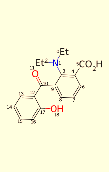 CCN(CC)c1c(C(=O)O)cccc1C(=O)c1ccccc1O